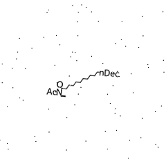 C=CN(C(C)=O)C(=O)CCCCCCCCCCCCCCCCCCCC